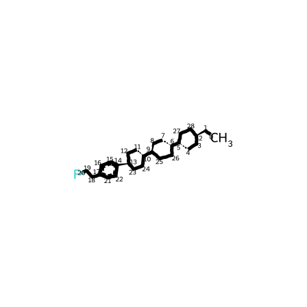 CC[C@H]1CC[C@H]([C@H]2CC[C@H]([C@H]3CC[C@H](c4ccc(CCF)cc4)CC3)CC2)CC1